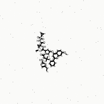 C=C[C@@H]1C[C@]1(NC(=O)C1CC(Oc2cc(-c3ccccc3)nc3cc(OC)ccc23)CN1C(=O)[C@@H](Nc1nc(CC)cs1)C(C)(C)C)C(=O)NS(=O)(=O)C1CC1